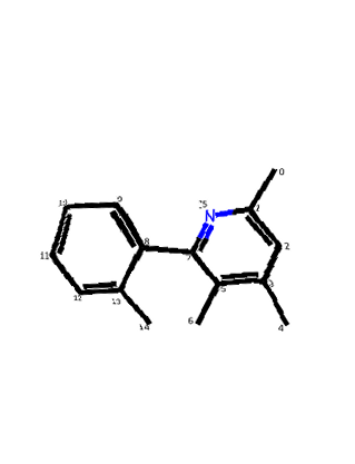 Cc1cc(C)c(C)c(-c2ccccc2C)n1